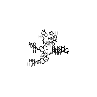 Cc1c(C)c(S(=O)(=O)NC(=N)NCCC[C@H](NC(=O)[C@H](CCCCNC(=O)OC(C)(C)C)NC(=O)[C@H](CCCCNC(=O)OC(C)(C)C)NC(=O)CNC(=O)[C@@H](NC(=O)[C@@H]2CCCN2)C(C)C)C(=O)N[C@@H](CCCNC(=N)N)C(=O)O)c(C)c2c1OC(C)(C)C2